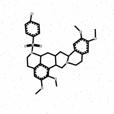 CCC1CN2CCc3cc(OC)c(OC)cc3C2CC1CC1c2cc(OC)c(OC)cc2CCN1S(=O)(=O)c1ccc(Cl)cc1